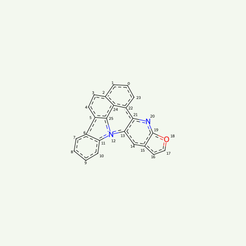 c1cc2ccc3c4ccccc4n4c5cc6ccoc6nc5c(c1)c2c34